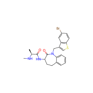 CN[C@@H](C)C(=O)NC1CCc2ccccc2N(Cc2csc3ccc(Br)cc23)C1=O